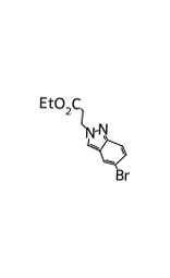 CCOC(=O)CCn1cc2cc(Br)ccc2n1